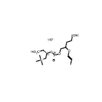 CC=COC(CCCCCCCCCCCC)CO[PH](=O)O[C@H](CC(=O)O)C[N+](C)(C)C.[OH-]